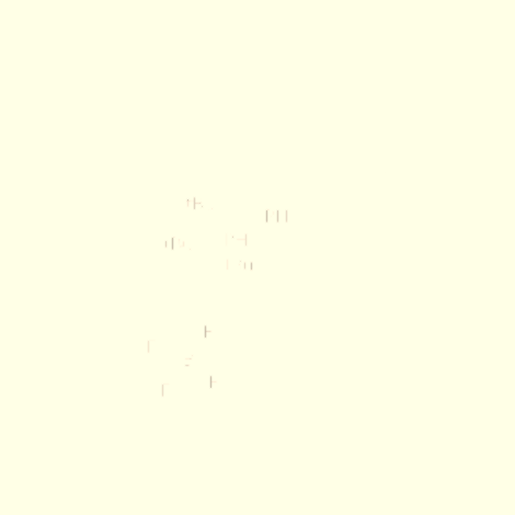 CC(C)(C)[PH](C(C)(C)C)(C(C)(C)C)[PH](Cc1ccccc1)(c1ccccc1)c1ccccc1.F[B-](F)(F)F